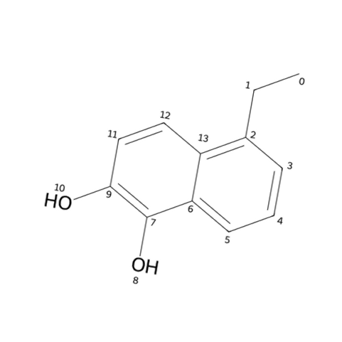 CCc1cccc2c(O)c(O)ccc12